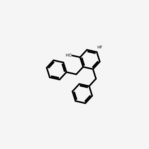 F.Oc1cccc(Cc2ccccc2)c1Cc1ccccc1